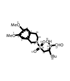 COc1cc2c(cc1OC)CN(S(=O)(=O)CC(N(O)C=O)C(C)(C)C)CC2